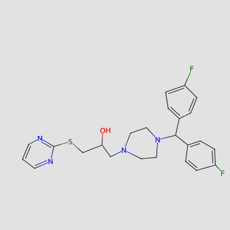 OC(CSc1ncccn1)CN1CCN(C(c2ccc(F)cc2)c2ccc(F)cc2)CC1